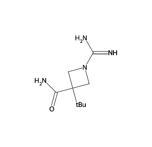 CC(C)(C)C1(C(N)=O)CN(C(=N)N)C1